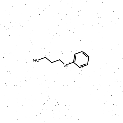 OCCC[Se]c1ccccc1